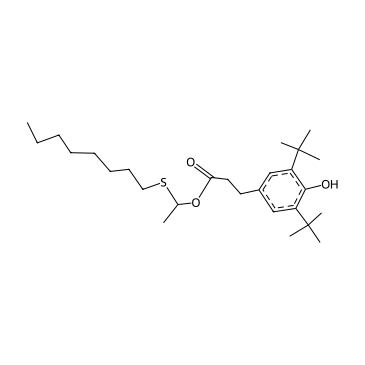 CCCCCCCCSC(C)OC(=O)CCc1cc(C(C)(C)C)c(O)c(C(C)(C)C)c1